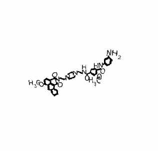 COc1cc(C(=O)NCCN2CCN(CCN3C(=O)c4ccc(OC)c5cc6ccccc6c(c45)C3=O)CC2)ccc1C(=O)Nc1cccc(N)c1